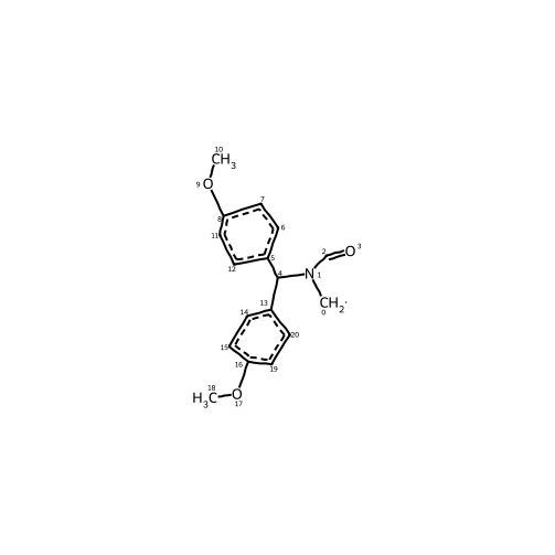 [CH2]N(C=O)C(c1ccc(OC)cc1)c1ccc(OC)cc1